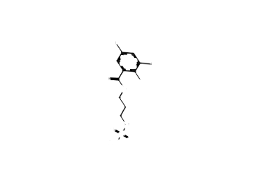 O=C(OCCCNS(=O)(=O)C(F)(F)F)c1cc(I)cc(I)c1I